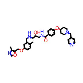 Cc1ncoc1COc1ccc2c(c1)CN[C@H]([C@H](O)CNC(=O)c1ccc(OC3CCN(Cc4ccncc4)CC3)cc1)C2